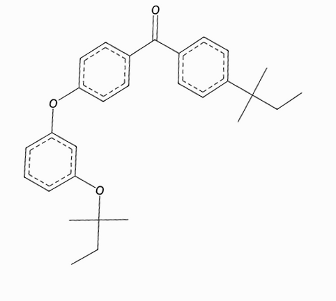 CCC(C)(C)Oc1cccc(Oc2ccc(C(=O)c3ccc(C(C)(C)CC)cc3)cc2)c1